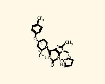 Cc1nc2c(N3CC[C@H](Oc4ccc(C(F)(F)F)cc4)C[C@@H]3C)nc(=O)n(C)c2n1C[C@@H]1CCCO1